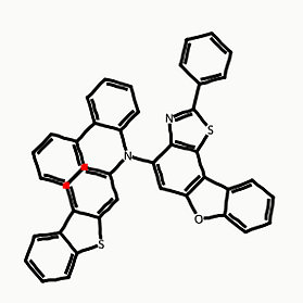 c1ccc(-c2nc3c(N(c4ccc5c(c4)sc4ccccc45)c4ccccc4-c4ccccc4)cc4oc5ccccc5c4c3s2)cc1